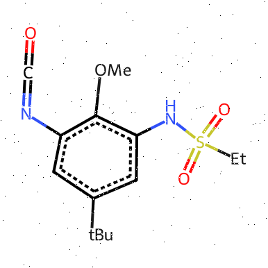 CCS(=O)(=O)Nc1cc(C(C)(C)C)cc(N=C=O)c1OC